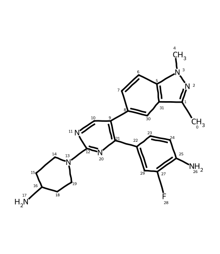 Cc1nn(C)c2ccc(-c3cnc(N4CCC(N)CC4)nc3-c3ccc(N)c(F)c3)cc12